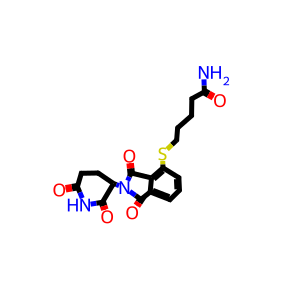 NC(=O)CCCCSc1cccc2c1C(=O)N(C1CCC(=O)NC1=O)C2=O